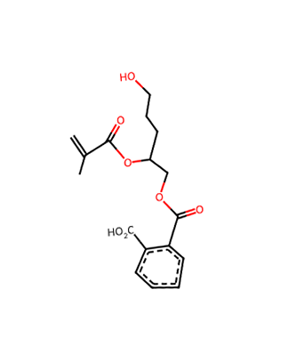 C=C(C)C(=O)OC(CCCO)COC(=O)c1ccccc1C(=O)O